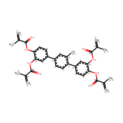 C=C(C)C(=O)Oc1ccc(-c2ccc(-c3ccc(OC(=O)C(=C)C)c(OC(=O)C(=C)C)c3)c(C(F)(F)F)c2)cc1OC(=O)C(=C)C